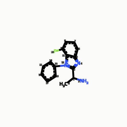 CC(N)c1nc2cccc(F)c2n1-c1ccccc1